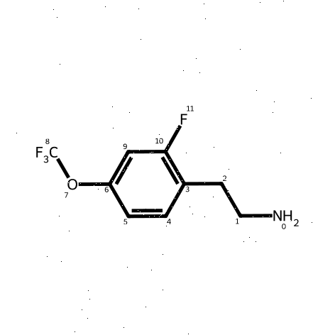 NCCc1ccc(OC(F)(F)F)cc1F